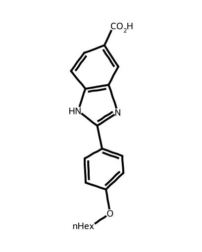 CCCCCCOc1ccc(-c2nc3cc(C(=O)O)ccc3[nH]2)cc1